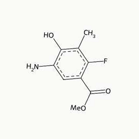 COC(=O)c1cc(N)c(O)c(C)c1F